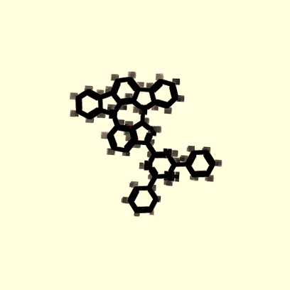 C1=CCC(C2=NC(C3=NC(n4c5ccccc5c5ccc6c7ccccc7n(-c7ccccc7)c6c54)C=C3)=NC(c3ccccc3)N2)C=C1